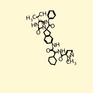 CC(C)[C@@H]1CN(C2(C(=O)Nc3ccccc3)Cc3ccc(NC(=O)[C@@H](NC(=O)c4ccnn4C)C4CCCCC4)cc3C2)C(=O)N1